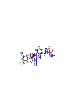 CC(Nc1nc2c(Cn3ccoc3=N)cccc2[nH]1)C(O)c1cc(F)cc(Cl)c1